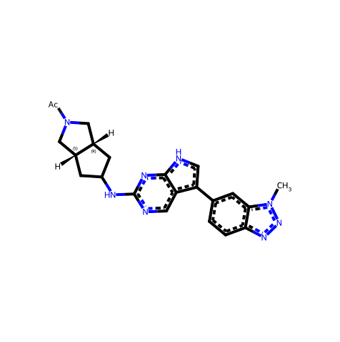 CC(=O)N1C[C@H]2CC(Nc3ncc4c(-c5ccc6nnn(C)c6c5)c[nH]c4n3)C[C@H]2C1